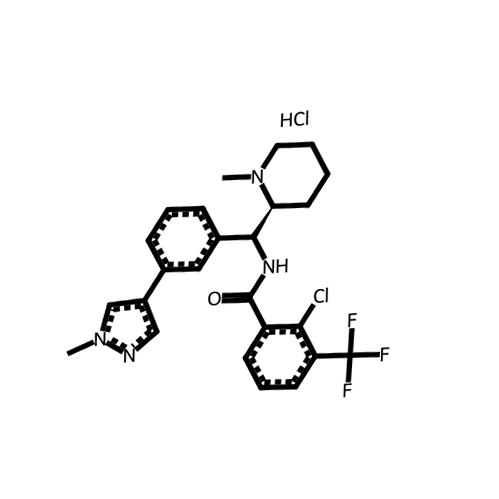 CN1CCCC[C@H]1C(NC(=O)c1cccc(C(F)(F)F)c1Cl)c1cccc(-c2cnn(C)c2)c1.Cl